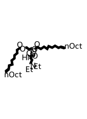 CCCCCCCCC=CCCCCCCCC(=O)OCC(COC(=O)CCCCCCCC=CCCCCCCCC)OS(=O)(=O)NCCN(CC)CC